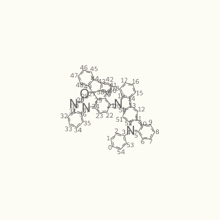 c1ccc(-n2c3ccccc3c3cc4c5ccccc5n(-c5ccc6c(c5)C5(Oc7nc8ccccc8n7-6)c6ccccc6-c6ccccc65)c4cc32)cc1